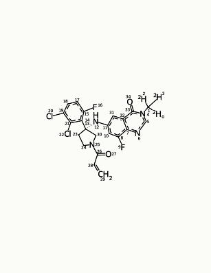 [2H]C([2H])([2H])n1cnc2c(F)cc(N[C@@]3(c4c(F)ccc(Cl)c4Cl)CCN(C(=O)C=C)C3)cc2c1=O